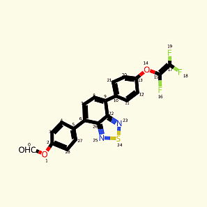 O=COc1ccc(-c2ccc(-c3ccc(OC(F)=C(F)F)cc3)c3nsnc23)cc1